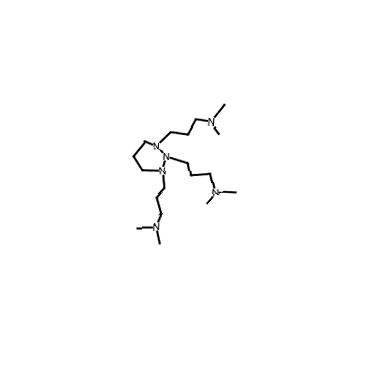 CN(C)CCCN1CCCN(CCCN(C)C)N1CCCN(C)C